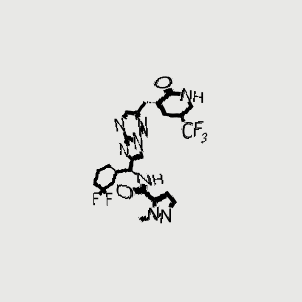 Cn1nccc1C(=O)N[C@H](c1cn2nc(C[C@H]3C[C@H](C(F)(F)F)CNC3=O)cnc2n1)[C@@H]1CCCC(F)(F)C1